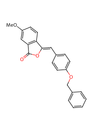 COc1ccc2c(c1)C(=O)OC2=Cc1ccc(OCc2ccccc2)cc1